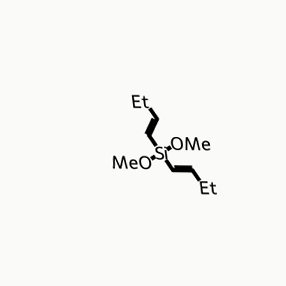 CCC=C[Si](C=CCC)(OC)OC